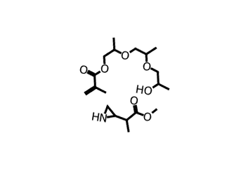 C=C(C)C(=O)OCC(C)OCC(C)OCC(C)O.COC(=O)C(C)C1CN1